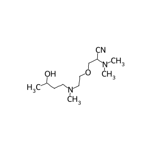 CC(O)CCN(C)CCOCC(C#N)N(C)C